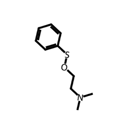 CN(C)CCOSc1ccccc1